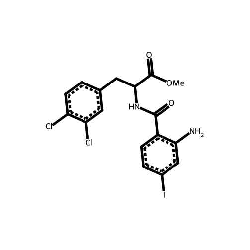 COC(=O)C(Cc1ccc(Cl)c(Cl)c1)NC(=O)c1ccc(I)cc1N